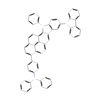 c1ccc(N(c2ccccc2)c2ccc(-c3ccc4ccc5c6c(ccc3c46)cc3c4cc(-n6c7ccccc7c7ccccc76)ccc4n(-c4ccccc4)c35)cc2)cc1